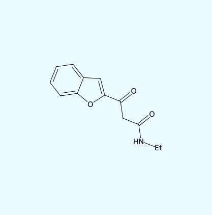 CCNC(=O)CC(=O)c1cc2ccccc2o1